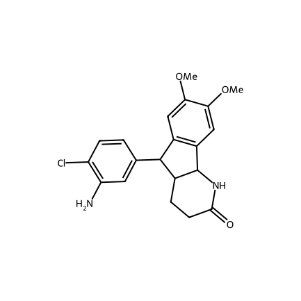 COc1cc2c(cc1OC)C(c1ccc(Cl)c(N)c1)C1CCC(=O)NC21